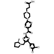 C[C@@H]1CCCN1Cc1sc(NC(=O)c2cnc(N3CCN(CCC(=O)O)CC3)cn2)nc1-c1cc(Cl)c(Cl)s1